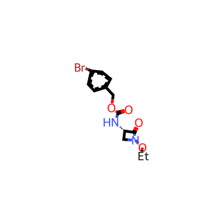 CCON1C[C@H](NC(=O)OCc2ccc(Br)cc2)C1=O